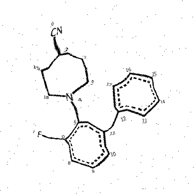 N#CC1CCN(c2c(F)cccc2-c2ccccc2)CC1